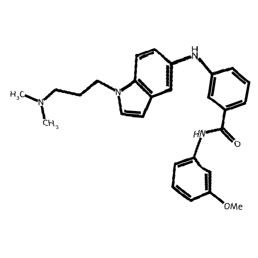 COc1cccc(NC(=O)c2cccc(Nc3ccc4c(ccn4CCCN(C)C)c3)c2)c1